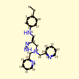 CCc1ccc(N/C=C(/CN(Cc2ccccn2)Cc2ccccn2)N=N)cc1